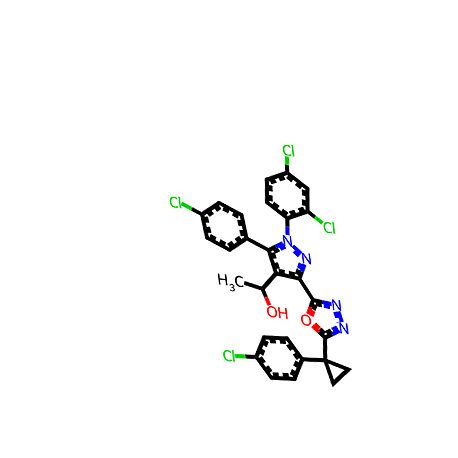 CC(O)c1c(-c2nnc(C3(c4ccc(Cl)cc4)CC3)o2)nn(-c2ccc(Cl)cc2Cl)c1-c1ccc(Cl)cc1